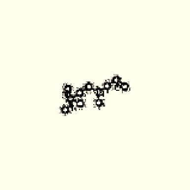 c1ccc(-c2nc(-c3ccc(-c4cccc5c4oc4ccccc45)cc3)cc(-c3cccc(-c4ccc(-c5c6c(cc7c(-c8ccccc8)nc8ccccc8c57)oc5ccccc56)cc4)c3)n2)cc1